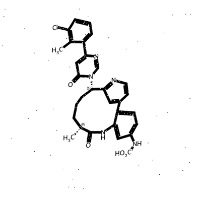 Cc1c(Cl)cccc1-c1cc(=O)n([C@H]2CCC[C@@H](C)C(=O)Nc3cc(NC(=O)O)ccc3-c3ccnc2c3)cn1